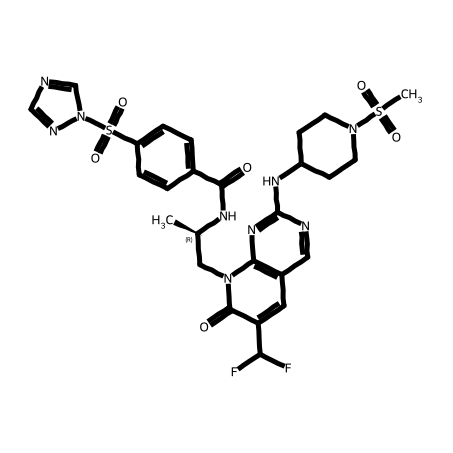 C[C@H](Cn1c(=O)c(C(F)F)cc2cnc(NC3CCN(S(C)(=O)=O)CC3)nc21)NC(=O)c1ccc(S(=O)(=O)n2cncn2)cc1